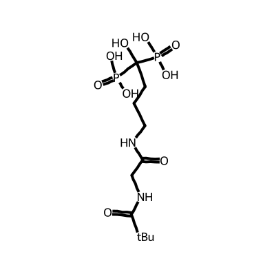 CC(C)(C)C(=O)NCC(=O)NCCCC(O)(P(=O)(O)O)P(=O)(O)O